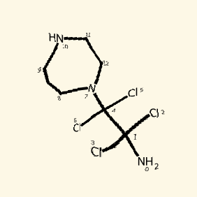 NC(Cl)(Cl)C(Cl)(Cl)N1CCNCC1